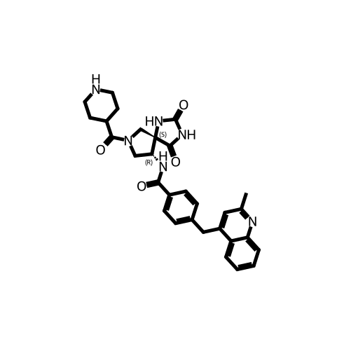 Cc1cc(Cc2ccc(C(=O)N[C@@H]3CN(C(=O)C4CCNCC4)C[C@]34NC(=O)NC4=O)cc2)c2ccccc2n1